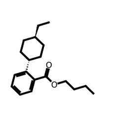 CCCCOC(=O)c1ccccc1[C@H]1CC[C@H](CC)CC1